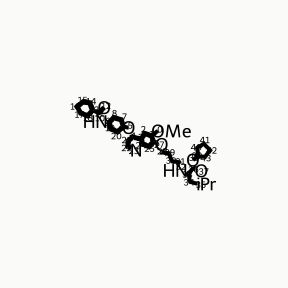 COc1cc2c(Oc3ccc(NC(=O)c4ccccc4)cc3)ccnc2cc1OCCCCNC(CC(C)C)C(=O)OC1CCCC1